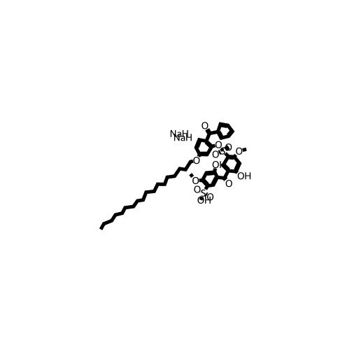 CCCCCCCCCCCCCCCCCCOc1ccc(C(=O)c2ccccc2)c(OS(=O)(=O)c2cc(C(=O)c3cc(S(=O)(=O)O)c(OC)cc3O)c(O)cc2OC)c1.[NaH].[NaH]